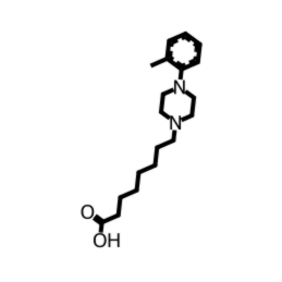 Cc1ccccc1N1CCN(CCCCCCCC(=O)O)CC1